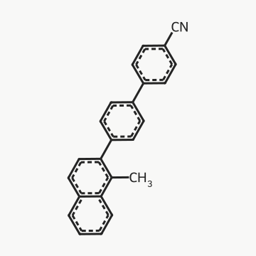 Cc1c(-c2ccc(-c3ccc(C#N)cc3)cc2)ccc2ccccc12